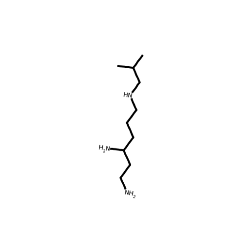 CC(C)CNCCCC(N)CCN